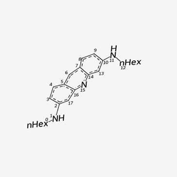 CCCCCCNc1ccc2cc3ccc(NCCCCCC)cc3nc2c1